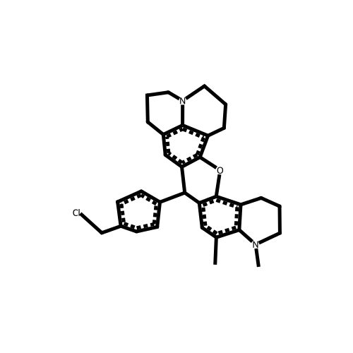 Cc1cc2c(c3c1N(C)CCC3)Oc1c(cc3c4c1CCCN4CCC3)C2c1ccc(CCl)cc1